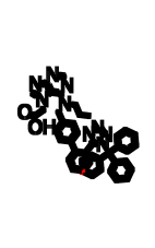 CCCN(Cc1ccc(-c2ccccc2-c2nnnn2C(c2ccccc2)(c2ccccc2)c2ccccc2)cc1)c1ncnc2ncn(CC(=O)O)c12